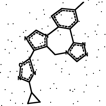 Cc1ccc2c(c1)-c1nncn1Cc1c(-c3nc(C4CC4)no3)ncn1-2